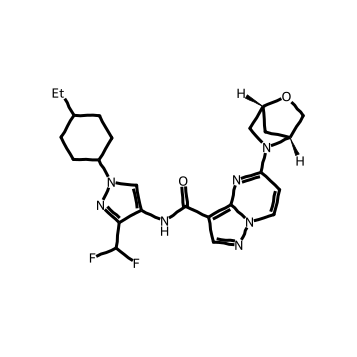 CCC1CCC(n2cc(NC(=O)c3cnn4ccc(N5C[C@H]6C[C@@H]5CO6)nc34)c(C(F)F)n2)CC1